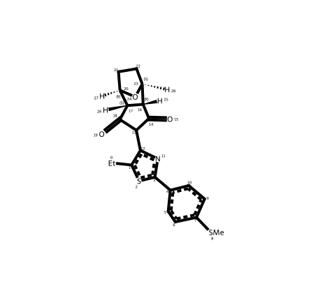 CCc1sc(-c2ccc(SC)cc2)nc1C1C(=O)[C@@H]2[C@H](C1=O)[C@H]1CC[C@@H]2O1